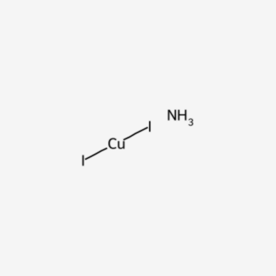 N.[I][Cu][I]